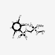 COP(=O)(COS(=O)(=O)c1c(F)ccc(F)c1C)OC(C)C